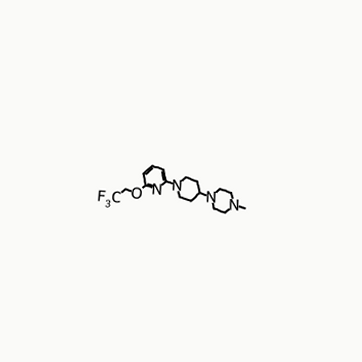 CN1CCN(C2CCN(c3cccc(OCC(F)(F)F)n3)CC2)CC1